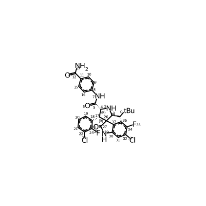 CC(C)(C)C[C@@H]1N[C@@H](C(=O)Nc2ccc(C(N)=O)cc2)[C@@H](c2cccc(Cl)c2F)C12C(=O)Nc1cc(Cl)c(F)cc12